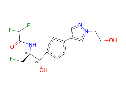 O=C(N[C@H](CF)[C@@H](O)c1ccc(-c2cnn(CCO)c2)cc1)C(F)F